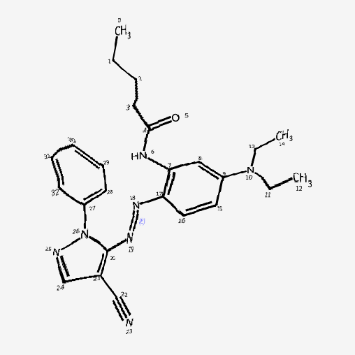 CCCCC(=O)Nc1cc(N(CC)CC)ccc1/N=N/c1c(C#N)cnn1-c1ccccc1